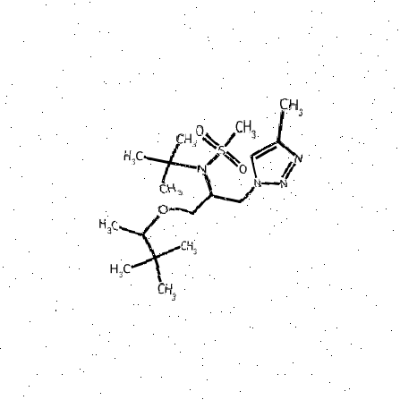 Cc1cn(CC(COC(C)C(C)(C)C)N(C(C)(C)C)S(C)(=O)=O)nn1